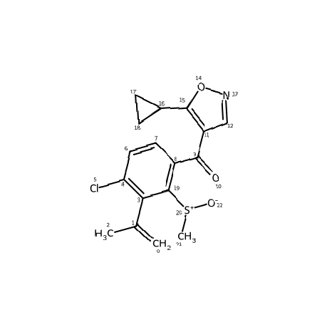 C=C(C)c1c(Cl)ccc(C(=O)c2cnoc2C2CC2)c1[S+](C)[O-]